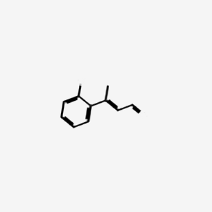 C/C(=C\C=O)c1ccccc1O